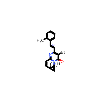 CCc1c(/C=C/c2ccccc2C)nc2n(c1=O)C1CC1(C(=O)O)C=C2